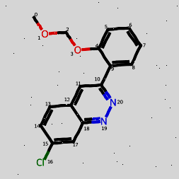 COCOc1ccccc1-c1cc2ccc(Cl)cc2nn1